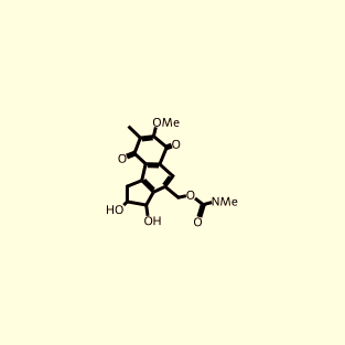 CNC(=O)OCc1cc2c(c3c1C(O)C(O)C3)C(=O)C(C)=C(OC)C2=O